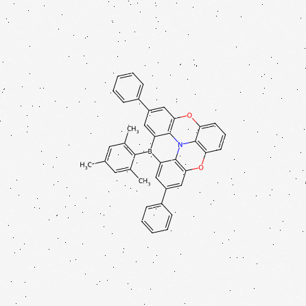 Cc1cc(C)c(B2c3cc(-c4ccccc4)cc4c3N3c5c(cccc5Oc5cc(-c6ccccc6)cc2c53)O4)c(C)c1